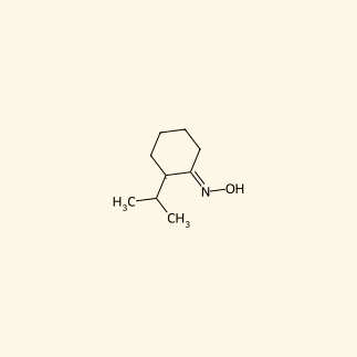 CC(C)[C]1CCCCC1=NO